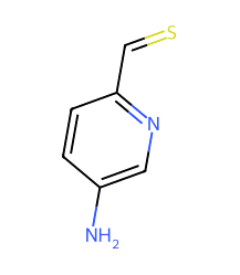 Nc1ccc(C=S)nc1